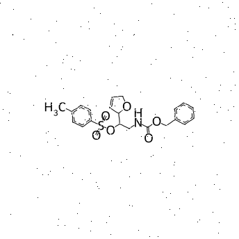 Cc1ccc(S(=O)(=O)OC(CNC(=O)OCc2ccccc2)C2C=CCO2)cc1